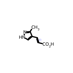 Cc1n[nH]cc1/C=C/C(=O)O